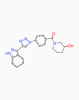 O=C(c1ccc(-n2cc(-c3n[nH]c4ccccc34)nn2)cc1)N1CCC[C@H](O)C1